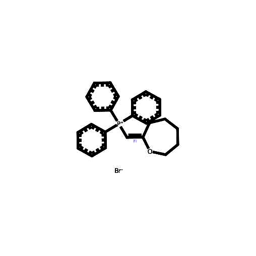 C(=C1/CCCCCO1)/[P+](c1ccccc1)(c1ccccc1)c1ccccc1.[Br-]